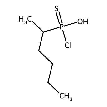 CCCCC(C)P(O)(=S)Cl